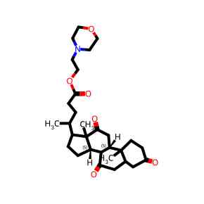 CC(CCC(=O)OCCN1CCOCC1)C1CC[C@H]2C3C(=O)CC4CC(=O)CCC4(C)[C@H]3CC(=O)C12C